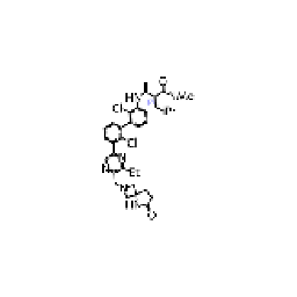 C=C(Nc1cccc(-c2cccc(-c3cnc(CN4CC5(CCC(=O)N5)C4)c(CC)n3)c2Cl)c1Cl)/C(=C/C(C)C)C(=O)NC